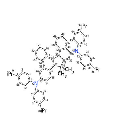 CC(C)c1ccc(N(c2ccc(C(C)C)cc2)c2ccc3c4c(c5ccccc5c3c2)-c2c(cc(N(c3ccc(C(C)C)cc3)c3ccc(C(C)C)cc3)c3ccccc23)C4(C)C)cc1